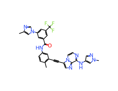 Cc1cn(-c2cc(C(=O)Nc3ccc(C)c(C#Cc4cnc5c(Nc6cnn(C)c6)nccn45)c3)cc(C(F)(F)F)c2)cn1